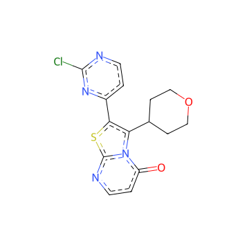 O=c1ccnc2sc(-c3ccnc(Cl)n3)c(C3CCOCC3)n12